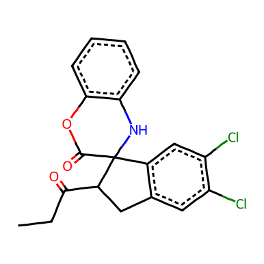 CCC(=O)C1Cc2cc(Cl)c(Cl)cc2C12Nc1ccccc1OC2=O